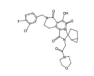 O=C(CN1C(=O)c2c3c(c(O)c(=O)n2C12CCC1CC12)C(=O)N(Cc1ccc(F)c(Cl)c1)CC3)N1CCOCC1